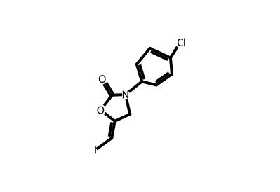 O=C1OC(=CI)CN1c1ccc(Cl)cc1